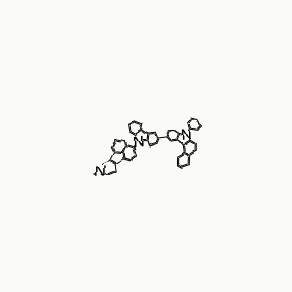 C=N/C=C\C1=C(C)c2cccc3c(-n4c5ccccc5c5cc(-c6ccc7c(c6)c6c8ccccc8ccc6n7-c6ccccc6)ccc54)ccc1c23